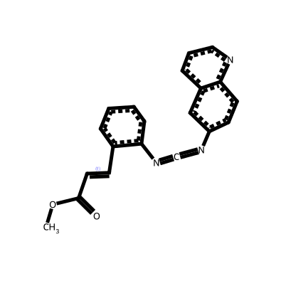 COC(=O)/C=C/c1ccccc1N=C=Nc1ccc2ncccc2c1